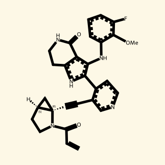 C=CC(=O)N1CC[C@H]2C[C@]21C#Cc1cnccc1-c1[nH]c2c(c1Nc1cccc(F)c1OC)C(=O)NCC2